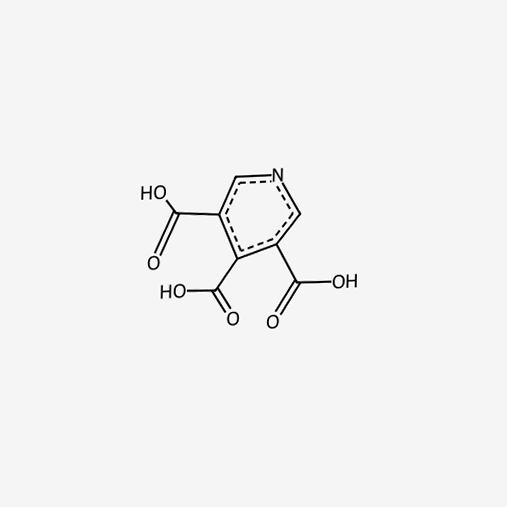 O=C(O)c1cncc(C(=O)O)c1C(=O)O